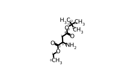 CCOC(=O)C(N)CC(=O)OC(C)(C)C